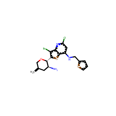 C=C1CO[C@H](c2sc3c(NCc4cccs4)cc(Cl)nc3c2Br)[C@@H](N)C1